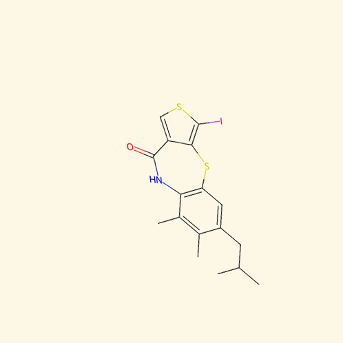 Cc1c(CC(C)C)cc2c(c1C)NC(=O)c1csc(I)c1S2